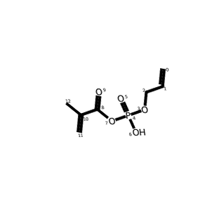 C=CCOP(=O)(O)OC(=O)C(=C)C